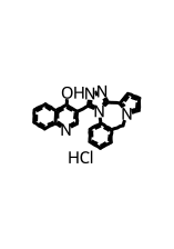 Cl.Oc1c(-c2nnc3n2-c2ccccc2Cn2cccc2-3)cnc2ccccc12